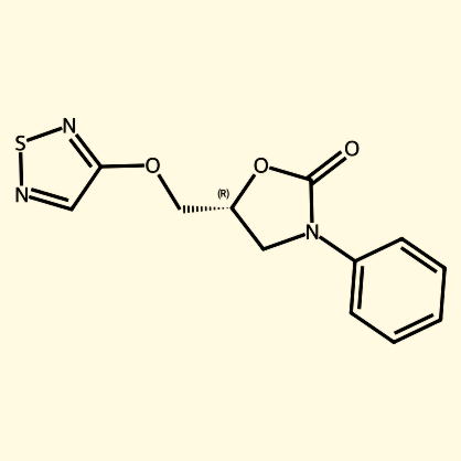 O=C1O[C@@H](COc2cnsn2)CN1c1ccccc1